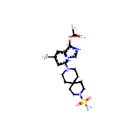 CS(=O)(=O)N1CCC2(CCN(c3cc(C(F)(F)F)cc4c(OC(=O)C(F)(F)F)ncn34)CC2)CC1